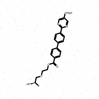 CCCCCCCc1cnc(-c2ccc(-c3ccc(C(=O)OCCOC[C@@H](F)CCC)cc3)cc2)nc1